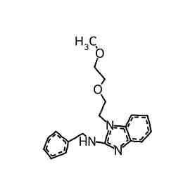 COCCOCCn1c(NCc2ccccc2)nc2ccccc21